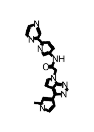 Cc1cc(-c2ncnc3c2ccn3CC(=O)Nc2ccc(-c3cnccn3)nc2)ccn1